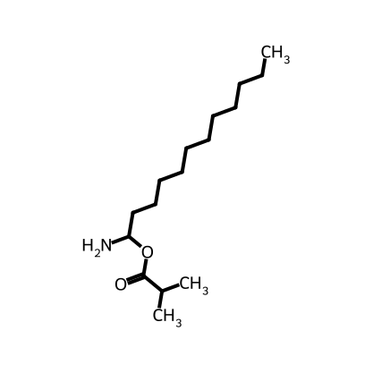 CCCCCCCCCCCC(N)OC(=O)C(C)C